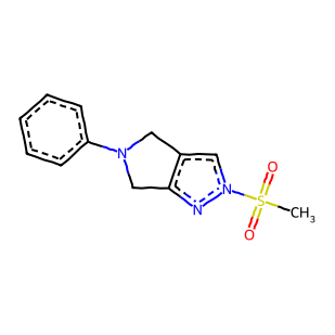 CS(=O)(=O)n1cc2c(n1)CN(c1ccccc1)C2